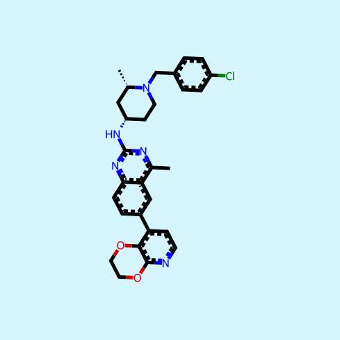 Cc1nc(N[C@H]2CCN(Cc3ccc(Cl)cc3)[C@@H](C)C2)nc2ccc(-c3ccnc4c3OCCO4)cc12